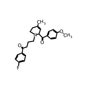 COc1ccc(C(=O)C2C=C(C)CCN2CCCC(=O)c2ccc(F)cc2)cc1